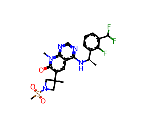 C[C@@H](Nc1ncnc2c1cc(C1(C)CN(S(C)(=O)=O)C1)c(=O)n2C)c1cccc(C(F)F)c1F